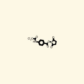 O=C(ON1C(=O)CCC1=O)c1ccc(NC(=O)C(Cl)(Cl)Cl)cc1